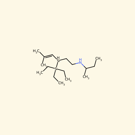 CCC(C)NCC[SiH](C=C(C)C)[Si](CC)(CC)CC